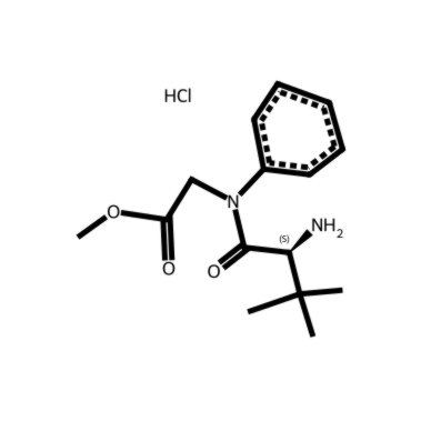 COC(=O)CN(C(=O)[C@@H](N)C(C)(C)C)c1ccccc1.Cl